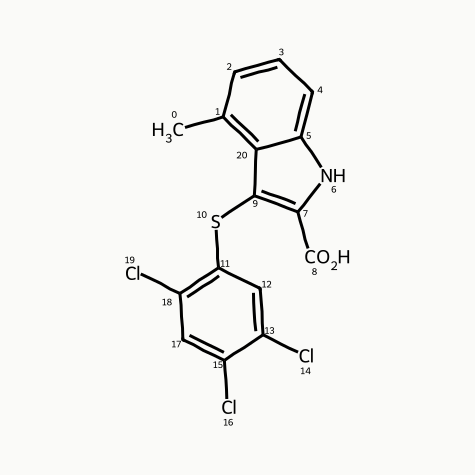 Cc1cccc2[nH]c(C(=O)O)c(Sc3cc(Cl)c(Cl)cc3Cl)c12